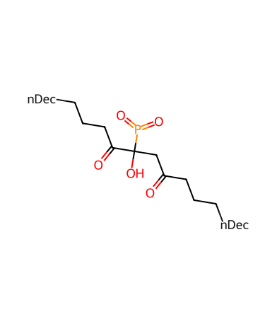 CCCCCCCCCCCCCC(=O)CC(O)(C(=O)CCCCCCCCCCCCC)P(=O)=O